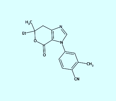 CCC1(C)Cc2ncn(-c3ccc(C#N)c(C)c3)c2C(=O)O1